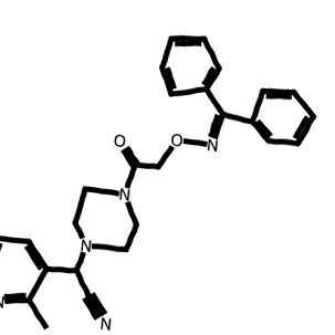 Cc1ncccc1C(C#N)N1CCN(C(=O)CON=C(c2ccccc2)c2ccccc2)CC1